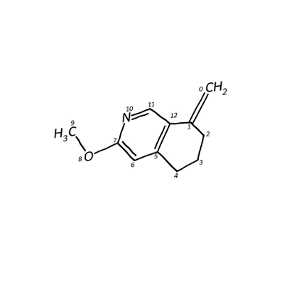 C=C1CCCc2cc(OC)ncc21